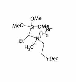 CCCCCCCCCCCC[N+](C)(C)C(CC)[Si](OC)(OC)OC.[Br-]